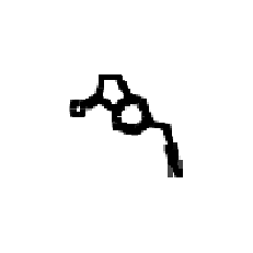 N#CCc1ccc2c(c1)CCC2=O